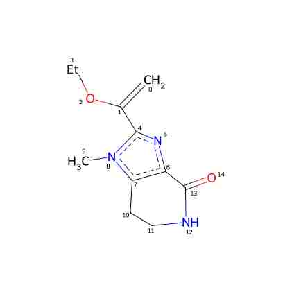 C=C(OCC)c1nc2c(n1C)CCNC2=O